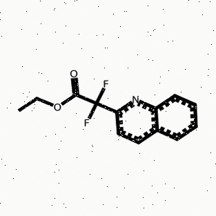 CCOC(=O)C(F)(F)c1ccc2ccccc2n1